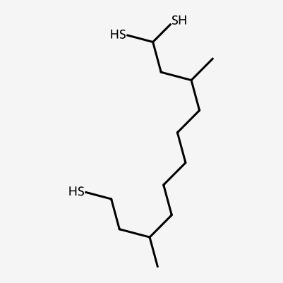 CC(CCS)CCCCCC(C)CC(S)S